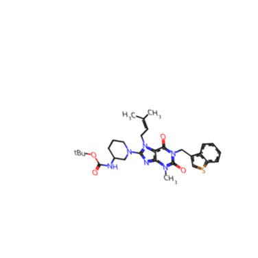 CC(C)=CCn1c(N2CCCC(NC(=O)OC(C)(C)C)C2)nc2c1c(=O)n(Cc1csc3ccccc13)c(=O)n2C